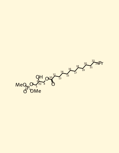 COP(=O)(OC)OC[C@@H](O)COC(=O)CCCCCCCCCCCC(C)C